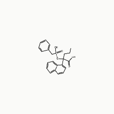 CCCC(OP(=O)(O)Cc1ccccc1)(C(=O)O)c1cccc2ccccc12